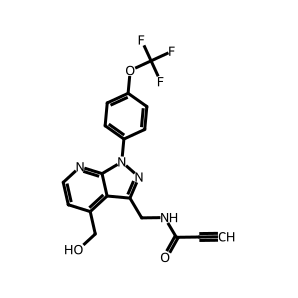 C#CC(=O)NCc1nn(-c2ccc(OC(F)(F)F)cc2)c2nccc(CO)c12